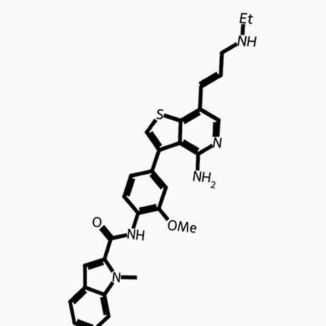 CCNC/C=C/c1cnc(N)c2c(-c3ccc(NC(=O)c4cc5ccccc5n4C)c(OC)c3)csc12